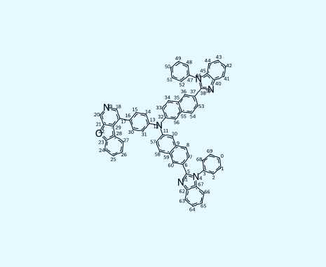 c1ccc(-n2c(-c3ccc4cc(N(c5ccc(-c6cncc7oc8ccccc8c67)cc5)c5ccc6cc(-c7nc8ccccc8n7-c7ccccc7)ccc6c5)ccc4c3)nc3ccccc32)cc1